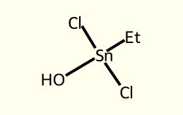 C[CH2][Sn]([OH])([Cl])[Cl]